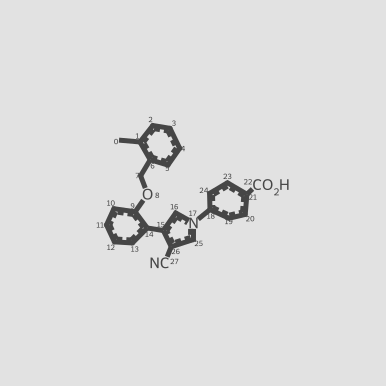 Cc1ccccc1COc1ccccc1-c1cn(-c2ccc(C(=O)O)cc2)cc1C#N